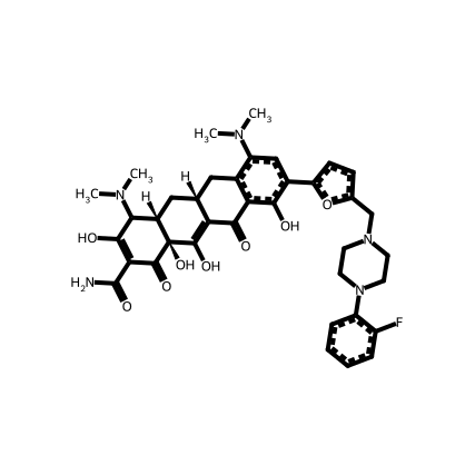 CN(C)c1cc(-c2ccc(CN3CCN(c4ccccc4F)CC3)o2)c(O)c2c1C[C@H]1C[C@H]3C(N(C)C)C(O)=C(C(N)=O)C(=O)[C@@]3(O)C(O)=C1C2=O